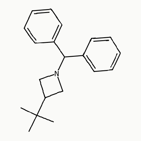 CC(C)(C)C1CN(C(c2ccccc2)c2ccccc2)C1